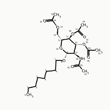 CCCCCCCCO[C@@H]1O[C@H](COC(C)=O)[C@@H](OC(C)=O)[C@H](OC(C)=O)[C@H]1NC(C)=O